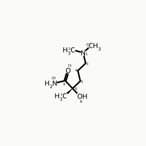 CN(C)CCC[C@](C)(O)C(N)=O